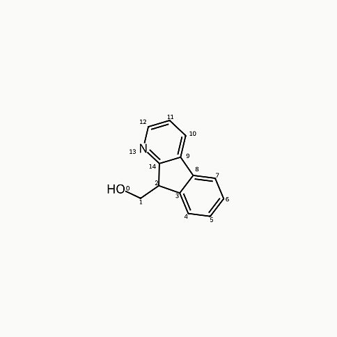 OCC1c2ccccc2-c2cccnc21